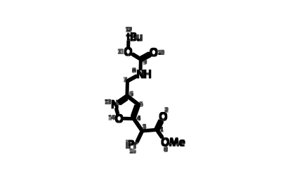 COC(=O)C(c1cc(CNC(=O)OC(C)(C)C)no1)C(C)C